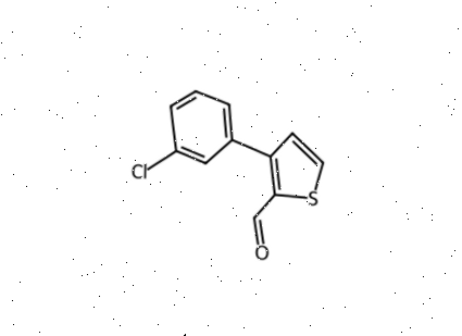 O=Cc1sccc1-c1cccc(Cl)c1